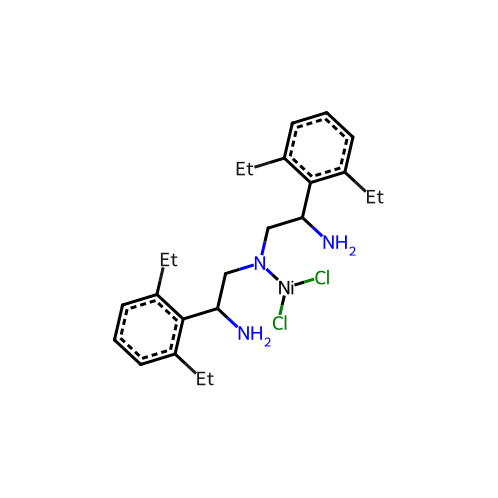 CCc1cccc(CC)c1C(N)C[N](CC(N)c1c(CC)cccc1CC)[Ni]([Cl])[Cl]